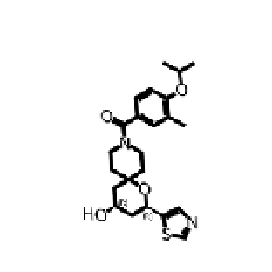 Cc1cc(C(=O)N2CCC3(CC2)C[C@H](O)C[C@H](c2cncs2)O3)ccc1OC(C)C